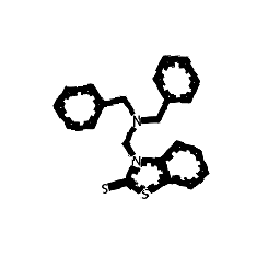 S=c1sc2ccccc2n1CN(Cc1ccccc1)Cc1ccccc1